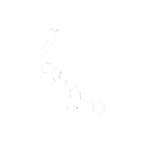 N[C@H](CC(=O)OC(=O)c1cc2cc(OCCC3CCNCC3)ccc2[nH]1)NS(=O)(=O)c1ccccc1